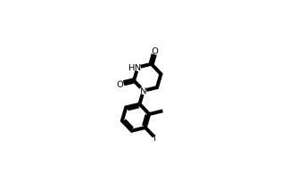 Cc1c(I)cccc1N1CCC(=O)NC1=O